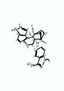 Cn1nc(N)c2cc([C@@H]3Nc4ccc5[nH]ncc5c4[C@H]4[C@@H]5CC[C@@H](C5)[C@H]43)ccc21